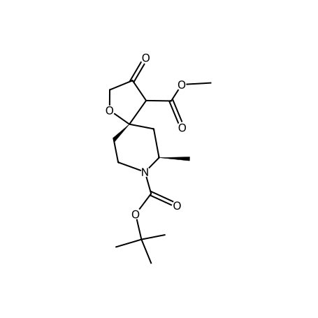 COC(=O)C1C(=O)CO[C@]12CCN(C(=O)OC(C)(C)C)[C@H](C)C2